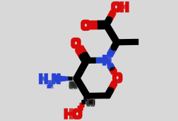 CC(C(=O)O)N1OC[C@H](O)[C@H](N)C1=O